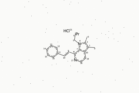 Cc1c(C)n(CC(C)C)c2c(/C=C/c3ccccc3)nccc12.Cl